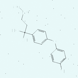 CCC(C)NCCC(C)(O)c1ccc(Oc2ccc(Cl)cc2)cc1